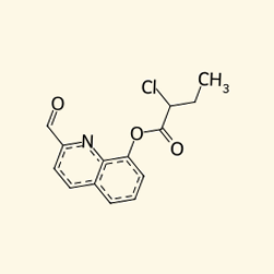 CCC(Cl)C(=O)Oc1cccc2ccc(C=O)nc12